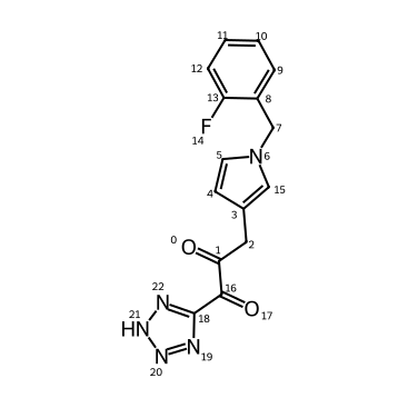 O=C(Cc1ccn(Cc2ccccc2F)c1)C(=O)c1nn[nH]n1